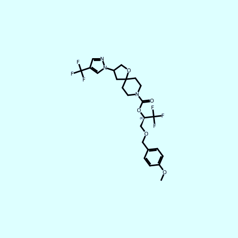 COc1ccc(COC[C@@H](OC(=O)N2CCC3(CC2)CC(n2cc(C(F)(F)F)cn2)CO3)C(F)(F)F)cc1